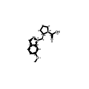 COc1ccc2cnn(C[C@H]3CCCN3C(=O)O)c2c1